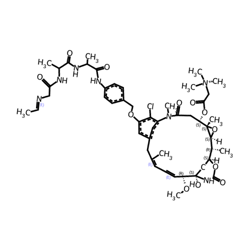 C/C=N/CC(=O)NC(C)C(=O)NC(C)C(=O)Nc1ccc(COc2cc3cc(c2Cl)N(C)C(=O)C[C@H](OC(=O)C[N+](C)(C)C)[C@]2(C)O[C@H]2[C@H](C)[C@@H]2C[C@@](O)(NC(=O)O2)[C@H](OC)/C=C/C=C(\C)C3)cc1